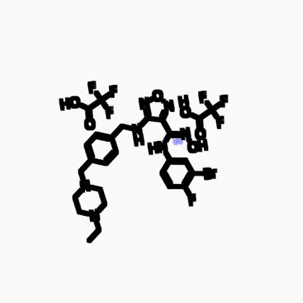 CCN1CCN(Cc2ccc(CNc3nonc3/C(=N/O)Nc3ccc(F)c(Br)c3)cc2)CC1.O=C(O)C(F)(F)F.O=C(O)C(F)(F)F